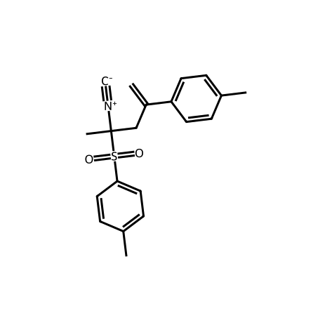 [C-]#[N+]C(C)(CC(=C)c1ccc(C)cc1)S(=O)(=O)c1ccc(C)cc1